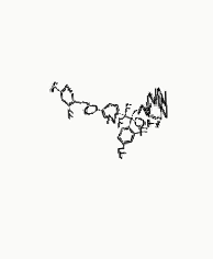 OC(Cn1cnnn1)(c1ccc(F)cc1F)C(F)(F)c1ccc(OCc2ccc(F)cc2F)cn1